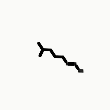 CC(C)CCCN=NO